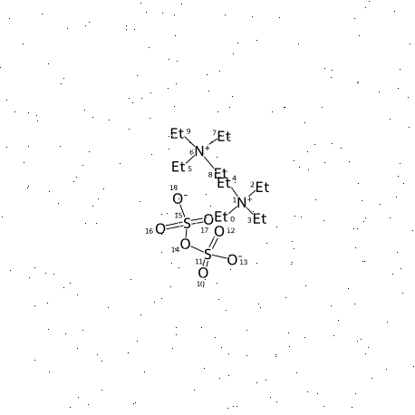 CC[N+](CC)(CC)CC.CC[N+](CC)(CC)CC.O=S(=O)([O-])OS(=O)(=O)[O-]